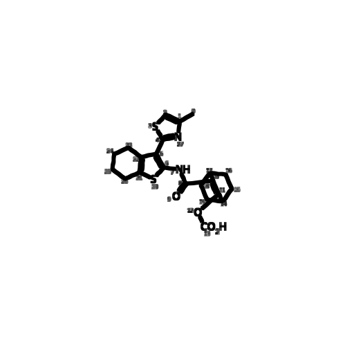 Cc1csc(-c2c(NC(=O)C3=C(OC(=O)O)C4CCC3CC4)sc3c2CCCC3)n1